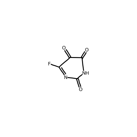 O=C1N=C(F)C(=O)C(=O)N1